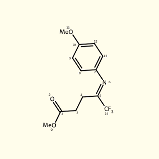 COC(=O)CCC(=Nc1ccc(OC)cc1)C(F)(F)F